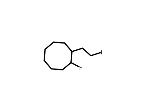 FC1CCCCCCC1CCI